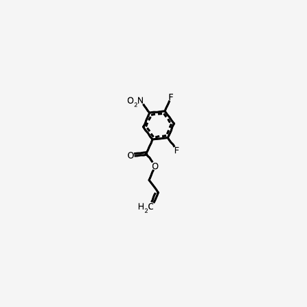 C=CCOC(=O)c1cc([N+](=O)[O-])c(F)cc1F